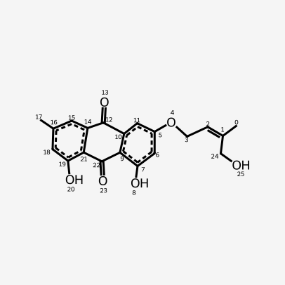 CC(=CCOc1cc(O)c2c(c1)C(=O)c1cc(C)cc(O)c1C2=O)CO